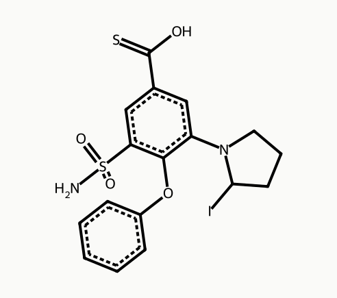 NS(=O)(=O)c1cc(C(O)=S)cc(N2CCCC2I)c1Oc1ccccc1